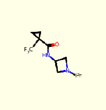 CC(C)N1CC(NC(=O)C2(C(F)(F)F)CC2)C1